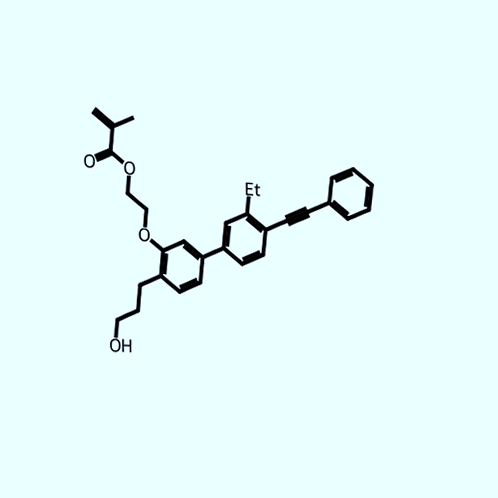 C=C(C)C(=O)OCCOc1cc(-c2ccc(C#Cc3ccccc3)c(CC)c2)ccc1CCCO